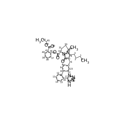 CCCCc1c(Cc2ccc(-c3ccccc3-c3nnn[nH]3)cc2)c(=O)n2n1C(C)CCC2C(=O)Oc1ccccc1C(=O)OCC